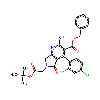 Cc1nc2c(c(-c3ccc(Cl)cc3Cl)c1C(=O)OCc1ccccc1)C(=O)N(CC(=O)OC(C)(C)C)C2